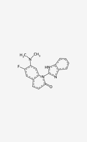 CN(C)c1cc2c(ccc(=O)n2-c2nc3ccccc3[nH]2)cc1F